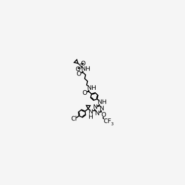 O=C(CCCCNC(=O)c1ccc(Nc2nc(NC3(c4ccc(Cl)cc4)CC3)nc(OCC(F)(F)F)n2)cc1)NS(=O)(=O)C1CC1